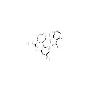 O=C1NC([C@@H]2NCCN(C(=O)O)C2c2ccc(Cl)cn2)c2nccnc21